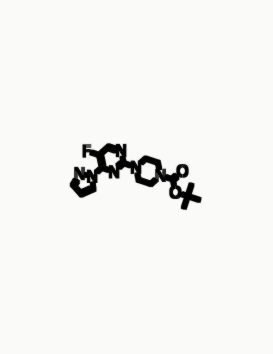 CC(C)(C)OC(=O)N1CCN(c2ncc(F)c(-n3cccn3)n2)CC1